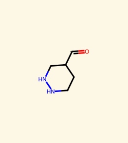 O=[C]C1CCNNC1